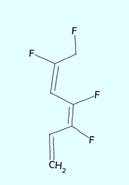 C=C/C(F)=C(F)\C=C(\F)CF